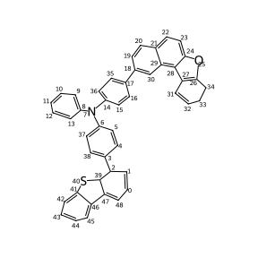 C1=CC(c2ccc(N(c3ccccc3)c3ccc(-c4ccc5ccc6oc7c(c6c5c4)C=CCC7)cc3)cc2)C2Sc3ccccc3C2=C1